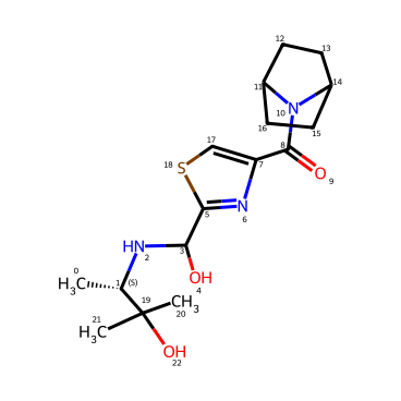 C[C@H](NC(O)c1nc(C(=O)N2C3CCC2CC3)cs1)C(C)(C)O